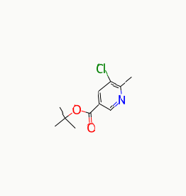 Cc1ncc(C(=O)OC(C)(C)C)cc1Cl